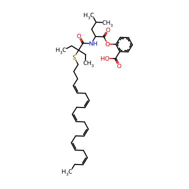 CC/C=C\C/C=C\C/C=C\C/C=C\C/C=C\C/C=C\CCCSC(CC)(CC)C(=O)NC(CC(C)C)C(=O)Oc1ccccc1C(=O)O